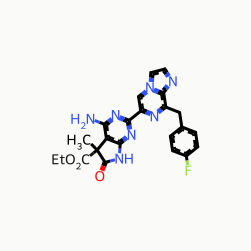 CCOC(=O)C1(C)C(=O)Nc2nc(-c3cn4ccnc4c(Cc4ccc(F)cc4)n3)nc(N)c21